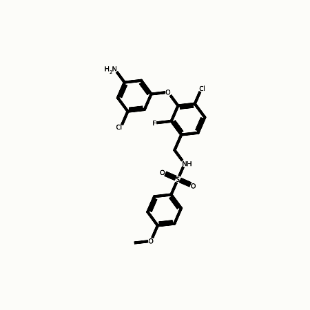 COc1ccc(S(=O)(=O)NCc2ccc(Cl)c(Oc3cc(N)cc(Cl)c3)c2F)cc1